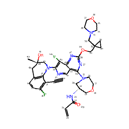 C#Cc1c(F)ccc2c1N(c1ncc3c(N4CCOC[C@H](NC(=O)C=C)C4)nc(OCC4(CN5CCOCC5)CC4)nc3c1F)C[C@@](C)(O)C2